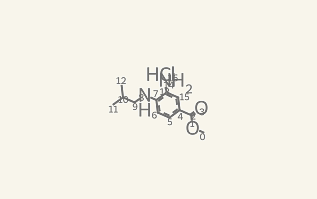 COC(=O)c1ccc(NCC(C)C)c(N)c1.Cl